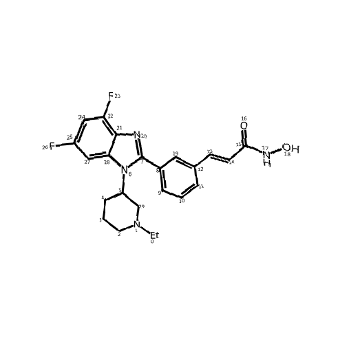 CCN1CCCC(n2c(-c3cccc(C=CC(=O)NO)c3)nc3c(F)cc(F)cc32)C1